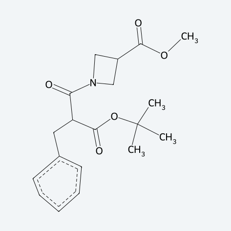 COC(=O)C1CN(C(=O)C(Cc2ccccc2)C(=O)OC(C)(C)C)C1